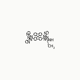 C=CCCC(=N)c1nc(-c2ccc3c(c2)C2(c4ccccc4-c4ccccc42)c2cc(-c4nc(-c5ccccn5)nc(-c5ccccn5)n4)ccc2-3)nc(C2CC=CC=N2)n1